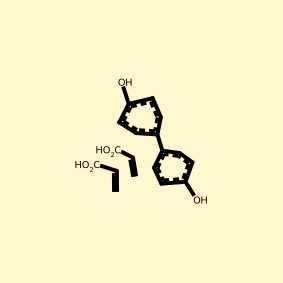 C=CC(=O)O.C=CC(=O)O.Oc1ccc(-c2ccc(O)cc2)cc1